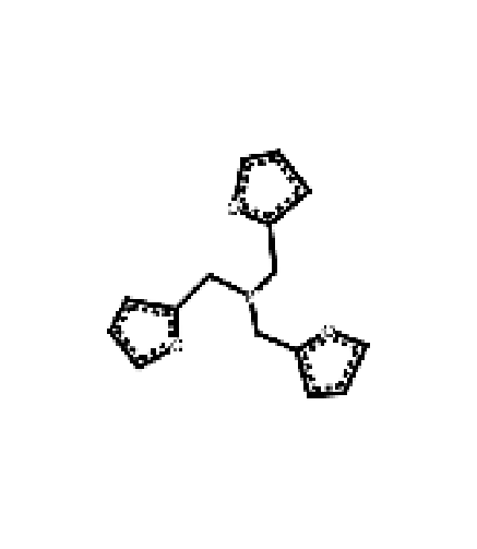 c1coc(CP(Cc2ccco2)Cc2ccco2)c1